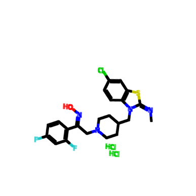 CN=c1sc2cc(Cl)ccc2n1CC1CCN(CC(=NO)c2ccc(F)cc2F)CC1.Cl.Cl